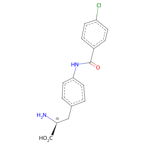 N[C@@H](Cc1ccc(NC(=O)c2ccc(Cl)cc2)cc1)C(=O)O